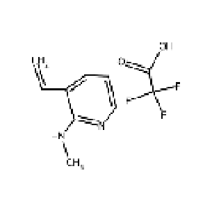 C=Cc1cccnc1NC.O=C(O)C(F)(F)F